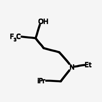 CCN(CCC(O)C(F)(F)F)CC(C)C